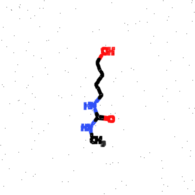 CNC(=O)NCCCCO